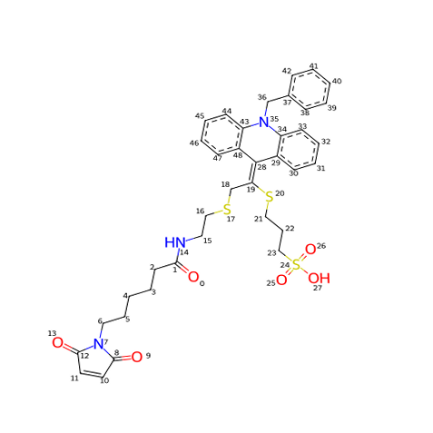 O=C(CCCCCN1C(=O)C=CC1=O)NCCSCC(SCCCS(=O)(=O)O)=C1c2ccccc2N(Cc2ccccc2)c2ccccc21